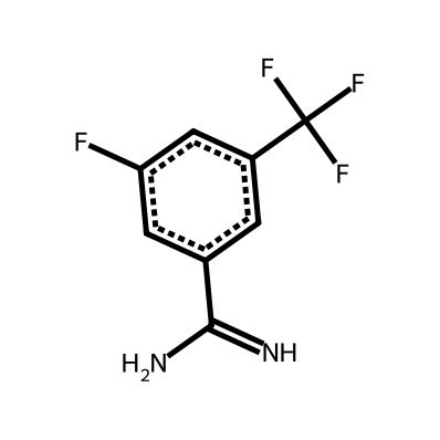 N=C(N)c1cc(F)cc(C(F)(F)F)c1